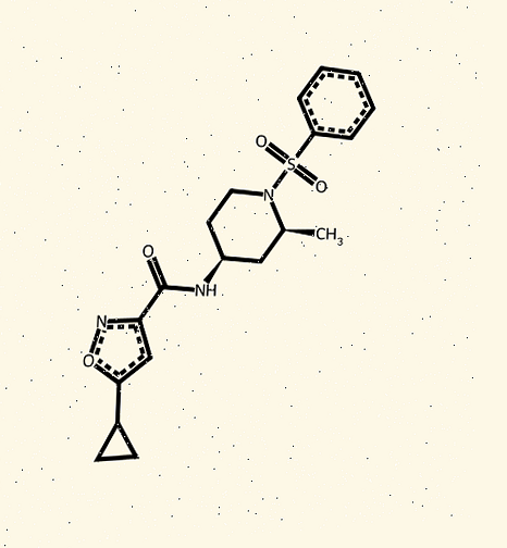 C[C@H]1C[C@@H](NC(=O)c2cc(C3CC3)on2)CCN1S(=O)(=O)c1ccccc1